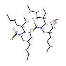 CCCCC(CC)CN(CC(CC)CCCC)C(=S)[S-].CCCCC(CC)CN(CC(CC)CCCC)C(=S)[S-].[O-2].[V+4]